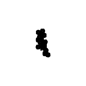 c1ccc(-c2nc(-c3ccc4c(c3)oc3ccccc34)nc(-c3ccccc3-c3cccc4c3Oc3c(ccc5c3-c3ccccc3C5(c3ccccc3)c3ccccc3)O4)n2)cc1